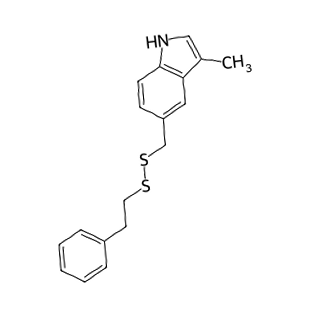 Cc1c[nH]c2ccc(CSSCCc3ccccc3)cc12